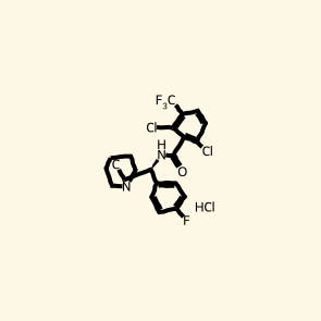 Cl.O=C(N[C@@H](c1ccc(F)cc1)C1CC2CCN1CC2)c1c(Cl)ccc(C(F)(F)F)c1Cl